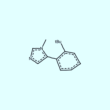 Cn1cncc1-c1ccccc1C(C)(C)C